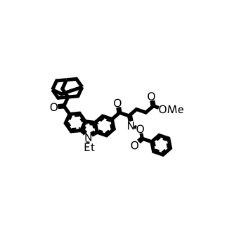 CCn1c2ccc(C(=O)C(CCC(=O)OC)=NOC(=O)c3ccccc3)cc2c2cc(C(=O)C34CC5CC(CC(C5)C3)C4)ccc21